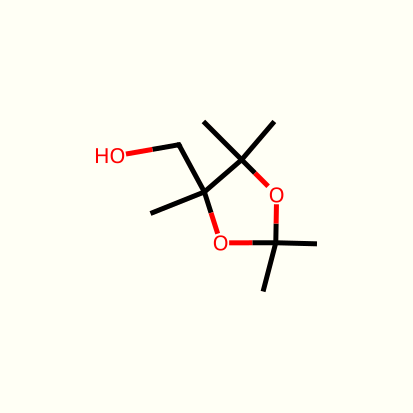 CC1(C)OC(C)(C)C(C)(CO)O1